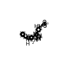 CS(=O)(=O)CCNC1CCC(n2nc(-c3ccc4[nH]c(Cc5ccccc5)nc4c3)c3c(N)ncnc32)CC1